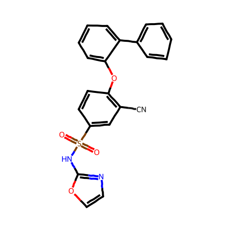 N#Cc1cc(S(=O)(=O)Nc2ncco2)ccc1Oc1ccccc1-c1ccccc1